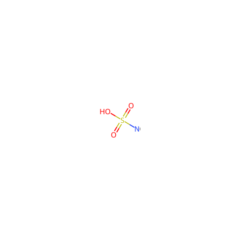 [N]S(=O)(=O)O